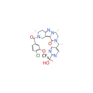 C[C@@H]1Cc2nn3c(c2CN1C(=O)c1ccc(Cl)c(OC(F)(F)F)c1)C(=O)N([C@H](C)c1cnc(C(C)(C)O)nc1)C[C@H]3C